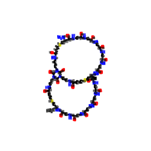 N[C@H]1CSCCC(=O)NCCn2c(=O)n3c(=O)n(c2=O)CCNC(=O)CCSC[C@H](NC(=O)CNC(=O)CNC(=O)CNC(=O)CNC(=O)CNC1=O)C(=O)NCC(=O)NCC(=O)NCC(=O)NCC(=O)NCC(=O)N[C@H](C(=O)O)CSCCC(=O)NCC3